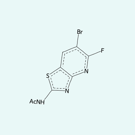 CC(=O)Nc1nc2nc(F)c(Br)cc2s1